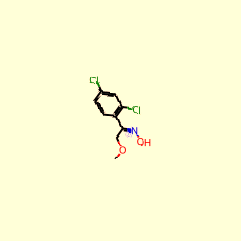 COC/C(=N\O)c1ccc(Cl)cc1Cl